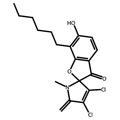 C=C1C(Cl)=C(Cl)C2(Oc3c(ccc(O)c3CCCCCC)C2=O)N1C